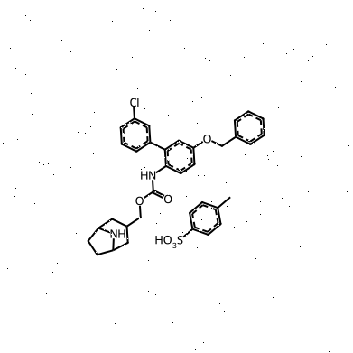 Cc1ccc(S(=O)(=O)O)cc1.O=C(Nc1ccc(OCc2ccccc2)cc1-c1cccc(Cl)c1)OCC1CC2CCC(C1)N2